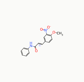 COc1ccc(/C=C/C(=O)Nc2ccccc2)cc1[N+](=O)[O-]